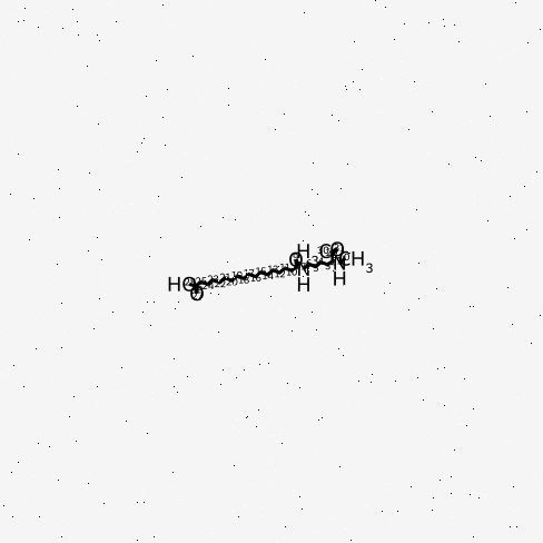 CNC(CCCCNC(=O)CCCCCCCCCCCCCCCCC(=O)O)C(C)=O